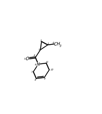 CC1CC1C(=O)N1CC=CCC1